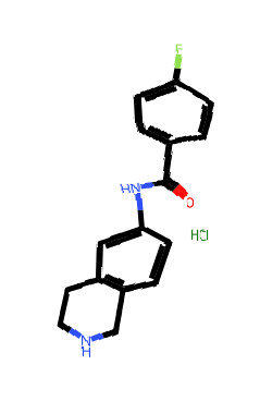 Cl.O=C(Nc1ccc2c(c1)CCNC2)c1ccc(F)cc1